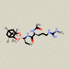 CCCCC(=O)N[C@@H](CCCNC(=N)N[N+](=O)[O-])C(=O)N[C@@H](CC(C)C)B1O[C@@H]2C[C@@H]3C[C@@H](C3(C)C)[C@]2(C)O1